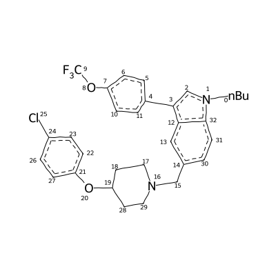 CCCCn1cc(-c2ccc(OC(F)(F)F)cc2)c2cc(CN3CCC(Oc4ccc(Cl)cc4)CC3)ccc21